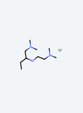 CCC(CN(C)C)[N-]CCN(C)C.[Li+]